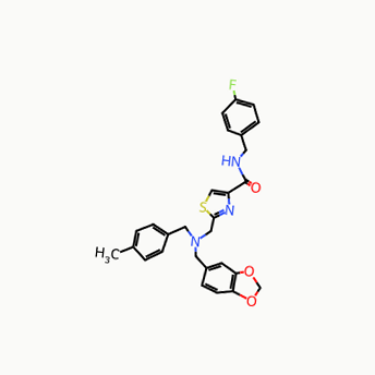 Cc1ccc(CN(Cc2ccc3c(c2)OCO3)Cc2nc(C(=O)NCc3ccc(F)cc3)cs2)cc1